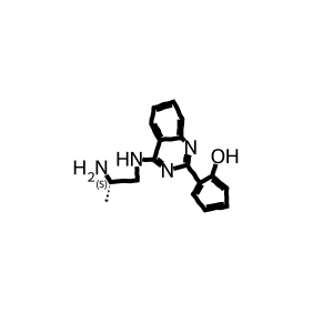 C[C@H](N)CNc1nc(-c2ccccc2O)nc2ccccc12